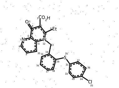 CCc1c(C(=O)O)c(=O)c2ncccc2n1Cc1ccccc1Sc1ccc(Cl)cc1